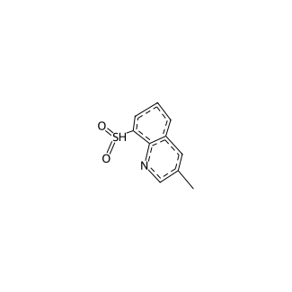 Cc1cnc2c([SH](=O)=O)cccc2c1